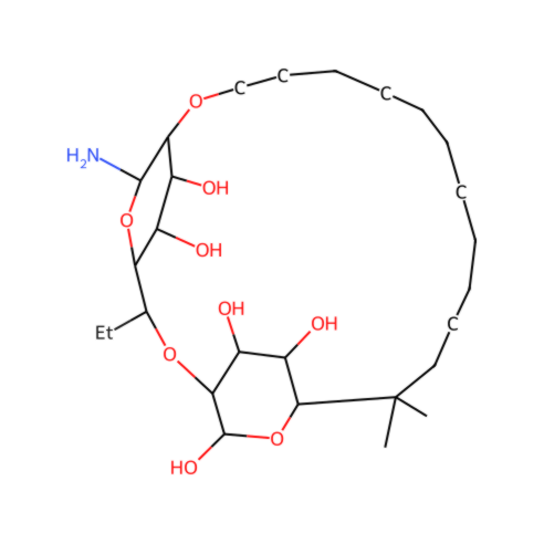 CCC1OC2C(O)OC(C(O)C2O)C(C)(C)CCCCCCCCCCCOC2C(N)OC1C(O)C2O